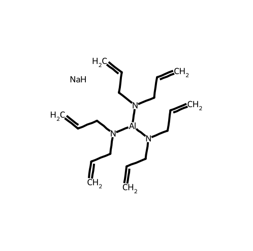 C=CC[N](CC=C)[Al]([N](CC=C)CC=C)[N](CC=C)CC=C.[NaH]